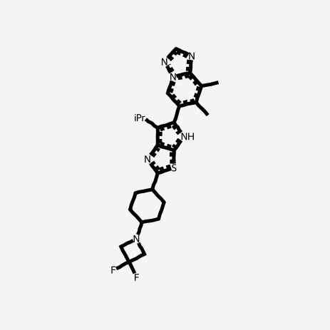 Cc1c(-c2[nH]c3sc(C4CCC(N5CC(F)(F)C5)CC4)nc3c2C(C)C)cn2ncnc2c1C